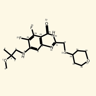 COC(C)(C)CNc1cc2nc(CSC3CCOCC3)[nH]c(=O)c2c(F)c1F